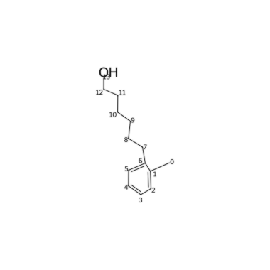 Cc1ccccc1CCCCCCO